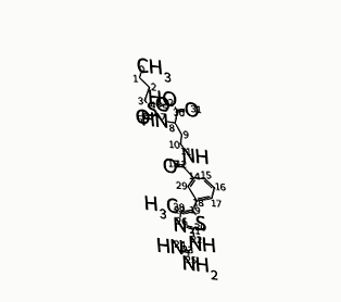 CCCCS(=O)(=O)NC(CCNC(=O)c1cccc(-c2sc(NC(=N)N)nc2C)c1)C(=O)O